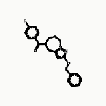 O=C(c1ccc(F)cc1)C1CCCn2nc(OCc3ccccc3)cc2C1